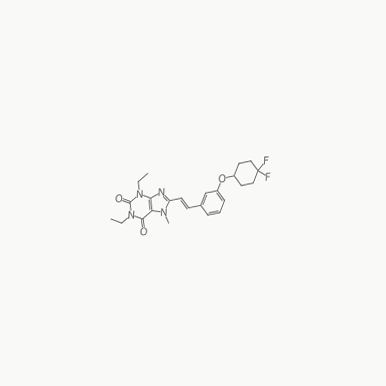 CCn1c(=O)c2c(nc(/C=C/c3cccc(OC4CCC(F)(F)CC4)c3)n2C)n(CC)c1=O